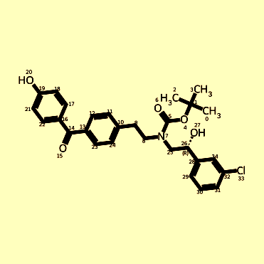 CC(C)(C)OC(=O)N(CCc1ccc(C(=O)c2ccc(O)cc2)cc1)C[C@H](O)c1cccc(Cl)c1